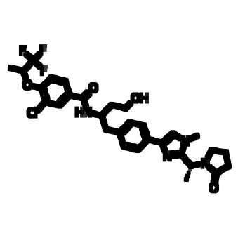 CC(Oc1ccc(C(=O)NC(CCO)Cc2ccc(-c3cn(C)c([C@@H](C)N4CCCC4=O)n3)cc2)cc1Cl)C(F)(F)F